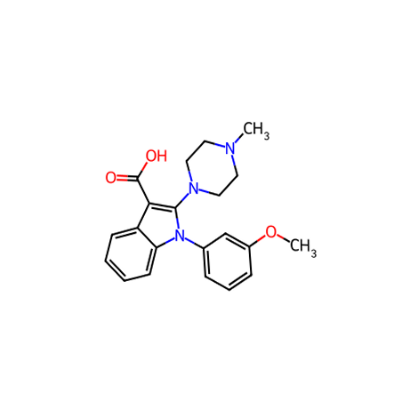 COc1cccc(-n2c(N3CCN(C)CC3)c(C(=O)O)c3ccccc32)c1